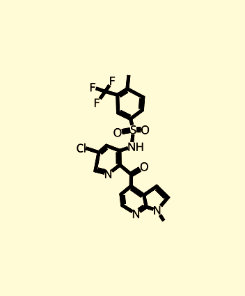 Cc1ccc(S(=O)(=O)Nc2cc(Cl)cnc2C(=O)c2ccnc3c2ccn3C)cc1C(F)(F)F